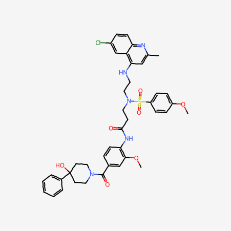 COc1ccc(S(=O)(=O)N(CCNc2cc(C)nc3ccc(Cl)cc23)CCC(=O)Nc2ccc(C(=O)N3CCC(O)(c4ccccc4)CC3)cc2OC)cc1